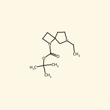 CCN1CCC2(CCN2C(=O)OC(C)(C)C)C1